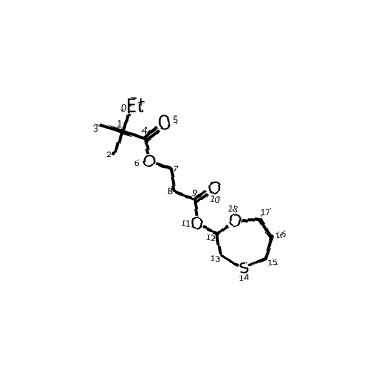 CCC(C)(C)C(=O)OCCC(=O)OC1CSCCCO1